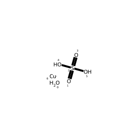 O.O=S(=O)(O)O.[Cu]